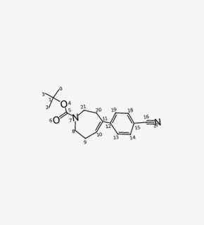 CC(C)(C)OC(=O)N1CCC=C(c2ccc(C#N)cc2)CC1